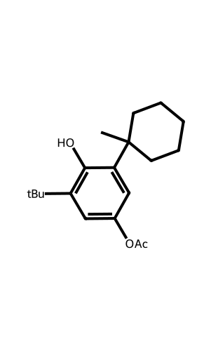 CC(=O)Oc1cc(C(C)(C)C)c(O)c(C2(C)CCCCC2)c1